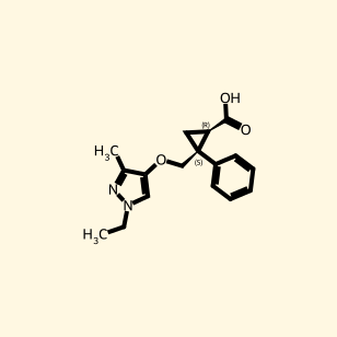 CCn1cc(OC[C@@]2(c3ccccc3)C[C@H]2C(=O)O)c(C)n1